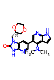 CN(C)c1c(-c2cnc3[nH]c(=O)n(C[C@H]4COCCO4)c3c2)cnc2[nH]ccc12